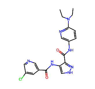 CCN(CC)c1ccc(NC(=O)c2n[nH]cc2NC(=O)c2cncc(Cl)c2)cn1